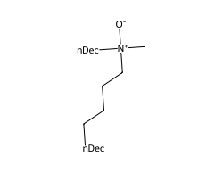 CCCCCCCCCCCCCC[N+](C)([O-])CCCCCCCCCC